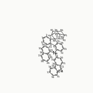 c1ccc2c(c1)-c1c(N(c3ccc4sc5ccccc5c4c3)c3cccc4ccccc34)cccc1C21C2CC3CC(C2)CC1C3